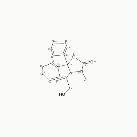 CC(CO)C1N(C)C(=O)OC1(c1ccccc1)c1ccccc1